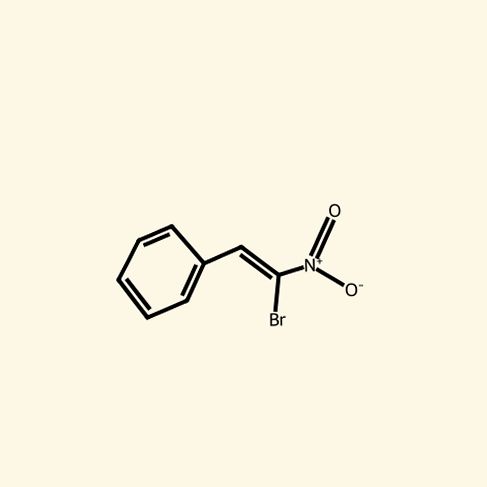 O=[N+]([O-])C(Br)=Cc1ccccc1